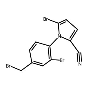 N#Cc1ccc(Br)n1-c1ccc(CBr)cc1Br